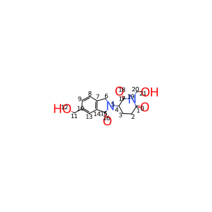 O=C1CCC(N2Cc3ccc(CO)cc3C2=O)C(=O)N1CO